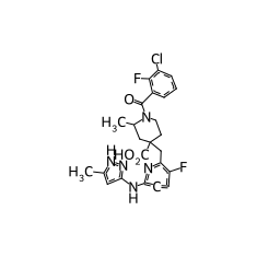 Cc1cc(Nc2ccc(F)c(CC3(C(=O)O)CCN(C(=O)c4cccc(Cl)c4F)C(C)C3)n2)n[nH]1